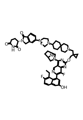 CCc1c(F)ccc2cc(O)cc(-c3ncc4c(N5CC6CCC(C5)N6)nc(OCC5(CN6CCC7(CCC(N8CCN(c9ccc%10c(c9)CN([C@H]9CCC(=O)NC9=O)C%10=O)CC8)CC7)CC6)CC5)nc4c3F)c12